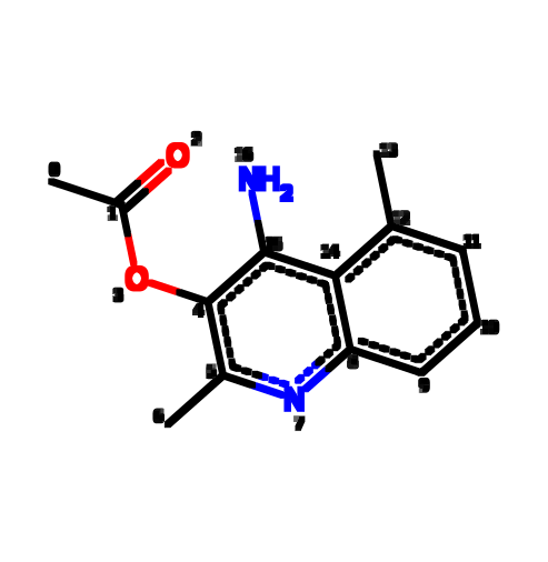 CC(=O)Oc1c(C)nc2cccc(C)c2c1N